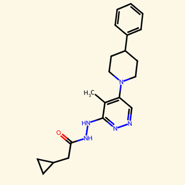 Cc1c(N2CCC(c3ccccc3)CC2)cnnc1NNC(=O)CC1CC1